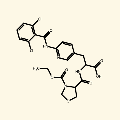 CCOC(=O)N1CSCC1C(=O)NC(Cc1ccc(NC(=O)c2c(Cl)cccc2Cl)nc1)C(=O)O